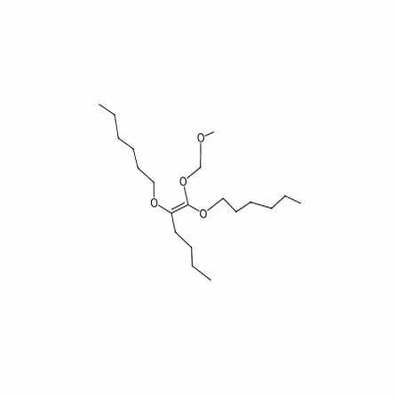 CCCCCCOC(CCCC)=C(OCCCCCC)OCOC